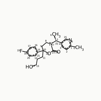 Cc1ccc([C@H](C)N2CCC(CCCO)(c3ccc(F)cc3)OC2=O)cn1